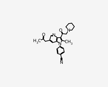 CC(=O)Cc1cnc2c(C(=O)CN3CCCCC3)c(C)n(-c3ccc(C#N)cc3)c2c1